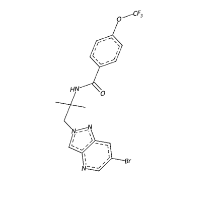 CC(C)(Cn1cc2ncc(Br)cc2n1)NC(=O)c1ccc(OC(F)(F)F)cc1